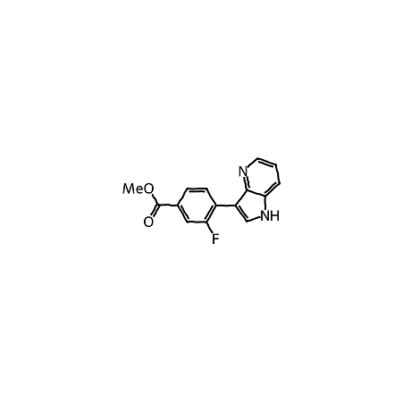 COC(=O)c1ccc(-c2c[nH]c3cccnc23)c(F)c1